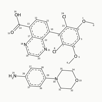 COc1cc(OC)c(Cl)c(-c2ccc(C(=O)O)c3nccnc23)c1Cl.Nc1ccc(N2CCOCC2)cc1